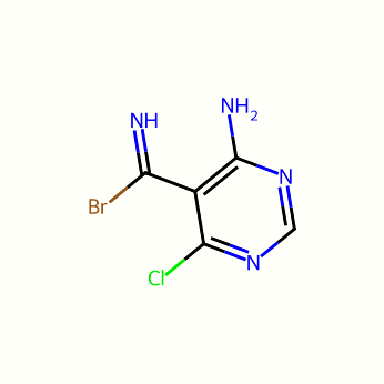 N=C(Br)c1c(N)ncnc1Cl